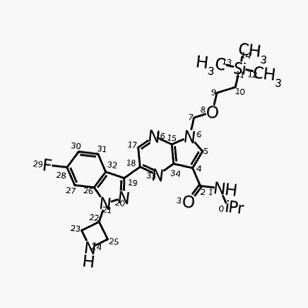 CC(C)NC(=O)c1cn(COCC[Si](C)(C)C)c2ncc(-c3nn(C4CNC4)c4cc(F)ccc34)nc12